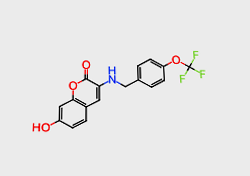 O=c1oc2cc(O)ccc2cc1NCc1ccc(OC(F)(F)F)cc1